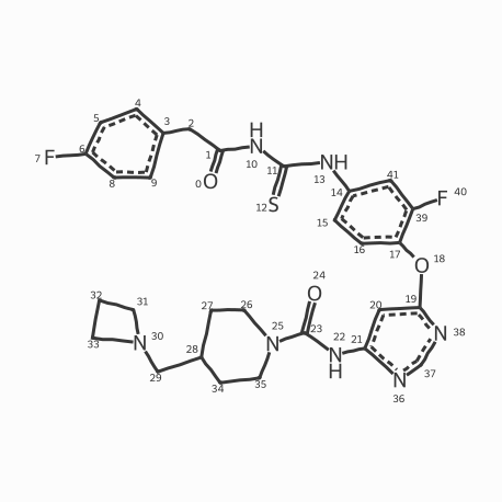 O=C(Cc1ccc(F)cc1)NC(=S)Nc1ccc(Oc2cc(NC(=O)N3CCC(CN4CCC4)CC3)ncn2)c(F)c1